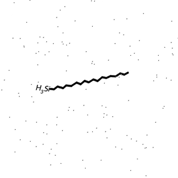 CCCCCCCCCCCCCCCCCC[SiH3]